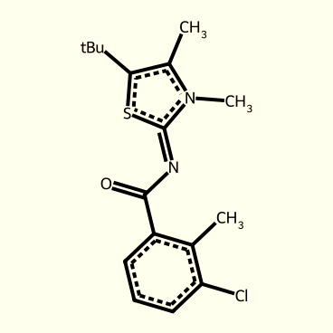 Cc1c(Cl)cccc1C(=O)/N=c1\sc(C(C)(C)C)c(C)n1C